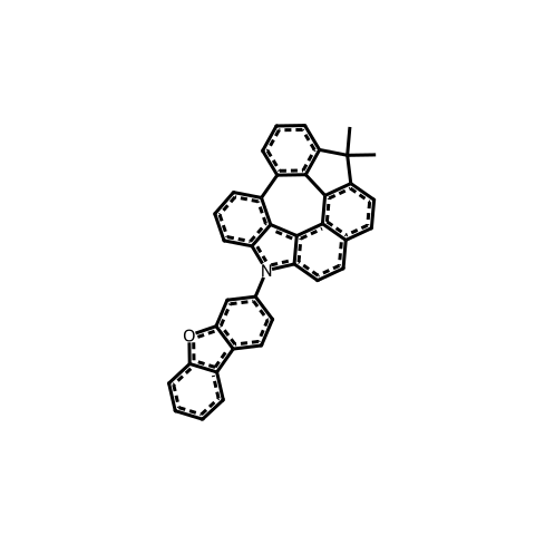 CC1(C)c2cccc3c2-c2c1ccc1ccc4c(c21)c1c-3cccc1n4-c1ccc2c(c1)oc1ccccc12